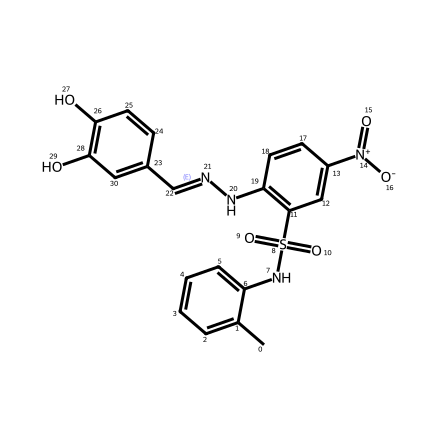 Cc1ccccc1NS(=O)(=O)c1cc([N+](=O)[O-])ccc1N/N=C/c1ccc(O)c(O)c1